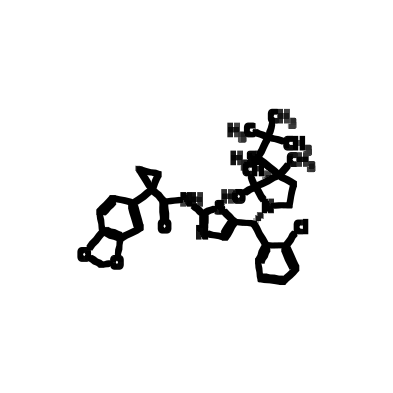 CC(C)(C)[SiH2]C1(C)CCN([C@@H](c2cnc(NC(=O)C3(c4ccc5c(c4)OCO5)CC3)s2)c2ccccc2Cl)C1(C)O